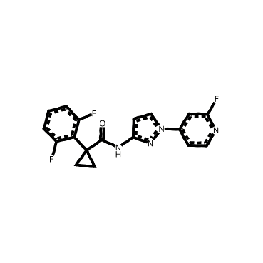 O=C(Nc1ccn(-c2ccnc(F)c2)n1)C1(c2c(F)cccc2F)CC1